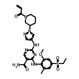 C=CC(=O)N1CCCC(n2cc(Nc3ncc(C(N)=O)c(Nc4c(C)cc(S(=O)(=O)CC)cc4OC)n3)cn2)C1